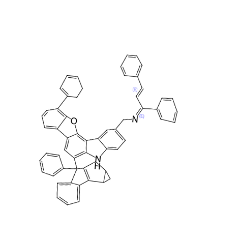 C1=CCCC(c2cccc3c2oc2c3cc(C3(c4ccccc4)C4=C(c5ccccc53)C3CC3C4)c3[nH]c4ccc(C/N=C(\C=C\c5ccccc5)c5ccccc5)cc4c32)=C1